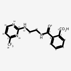 O=C(O)c1ccccc1C(=O)NCCNc1nccc(C(F)(F)F)n1